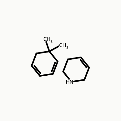 C1=CCNCC1.CC1(C)C=CC=CC1